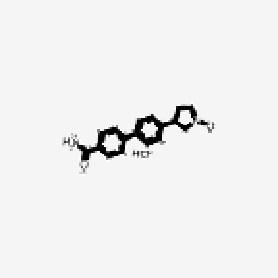 CCN1CCC(c2ccc(-c3ccc(C(N)=O)cc3)cc2)C1.Cl